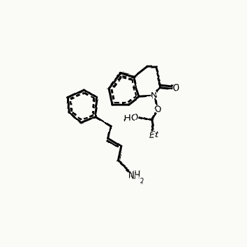 CCC(O)ON1C(=O)CCc2ccccc21.NCC=CCc1ccccc1